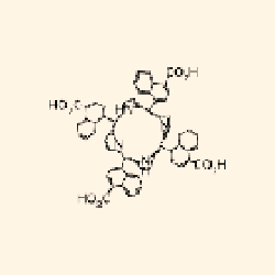 O=C(O)c1ccc(-c2c3nc(c(-c4ccc(C(=O)O)c5ccccc45)c4ccc([nH]4)c(-c4ccc(C(=O)O)c5ccccc45)c4nc(c(-c5ccc(C(=O)O)c6ccccc56)c5ccc2[nH]5)C=C4)C=C3)c2ccccc12